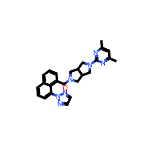 Cc1cc(C)nc(N2CC3CN(C(=O)c4cccc5cccc(-n6nccn6)c45)CC3C2)n1